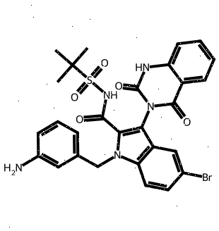 CC(C)(C)S(=O)(=O)NC(=O)c1c(-n2c(=O)[nH]c3ccccc3c2=O)c2cc(Br)ccc2n1Cc1cccc(N)c1